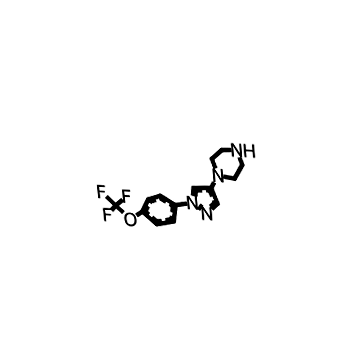 FC(F)(F)Oc1ccc(-n2cc(N3CCNCC3)cn2)cc1